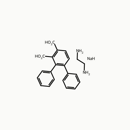 NCCN.O=C(O)c1ccc(-c2ccccc2)c(-c2ccccc2)c1C(=O)O.[NaH]